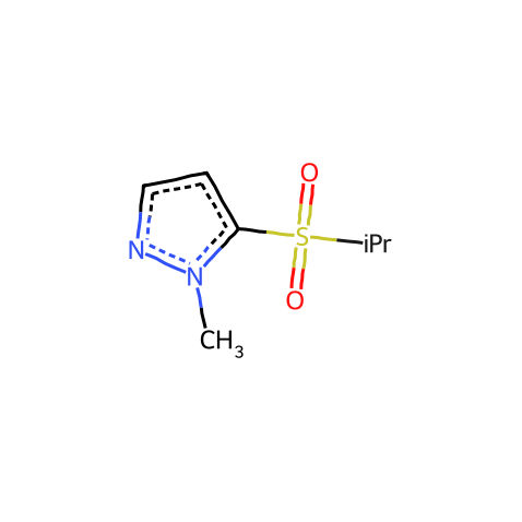 CC(C)S(=O)(=O)c1ccnn1C